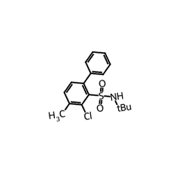 Cc1ccc(-c2ccccc2)c(S(=O)(=O)NC(C)(C)C)c1Cl